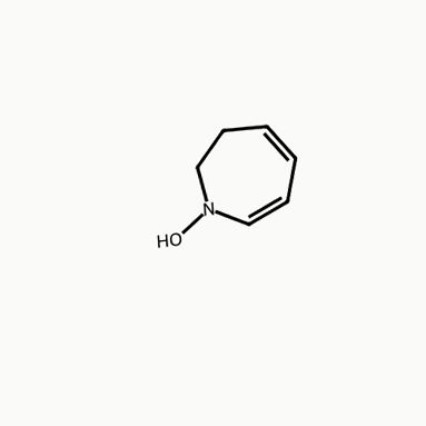 ON1C=CC=CCC1